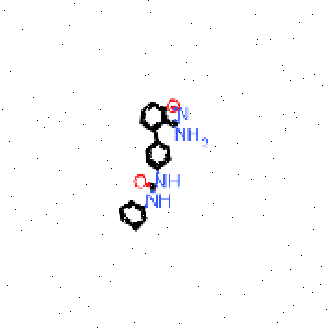 Nc1noc2cccc(-c3ccc(NC(=O)Nc4ccccc4)cc3)c12